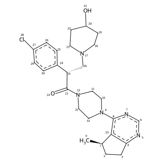 C[C@@H]1CCc2ncnc(N3CCN(C(=O)[C@@H](CN4CCC(O)CC4)c4ccc(Cl)cc4)CC3)c21